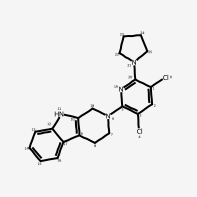 Clc1cc(Cl)c(N2CCc3c([nH]c4ccccc34)C2)nc1N1CCCC1